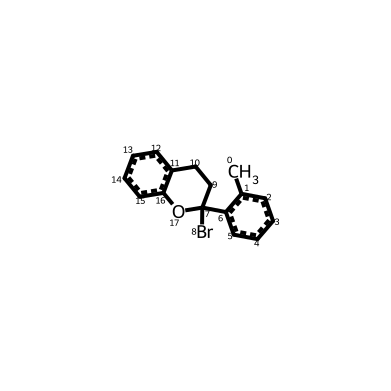 Cc1ccccc1C1(Br)CCc2ccccc2O1